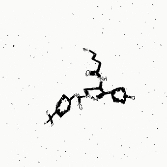 O=C(CCCBr)NC1CN(C(=O)Nc2ccc(C(F)(F)F)cc2)N=C1c1ccc(Cl)cc1